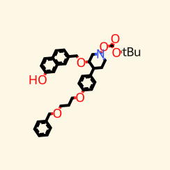 CC(C)(C)OC(=O)ON1CCC(c2ccc(OCCCOCc3ccccc3)cc2)C(OCc2ccc3ccc(O)cc3c2)C1